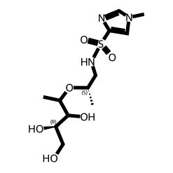 CC(O[C@@H](C)CNS(=O)(=O)c1cn(C)cn1)C(O)[C@H](O)CO